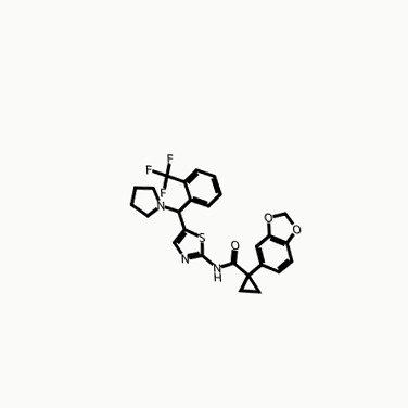 O=C(Nc1ncc(C(c2ccccc2C(F)(F)F)N2CCCC2)s1)C1(c2ccc3c(c2)OCO3)CC1